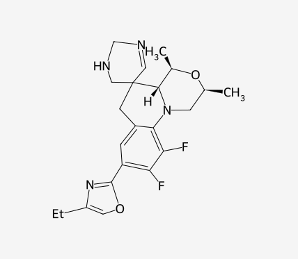 CCc1coc(-c2cc3c(c(F)c2F)N2C[C@H](C)O[C@H](C)[C@H]2C2(C=NCNC2)C3)n1